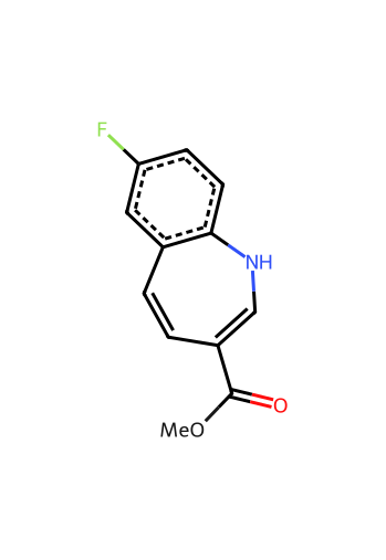 COC(=O)C1=CNc2ccc(F)cc2C=C1